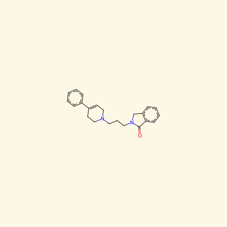 O=C1c2ccccc2CN1CCCN1CC=C(c2ccccc2)CC1